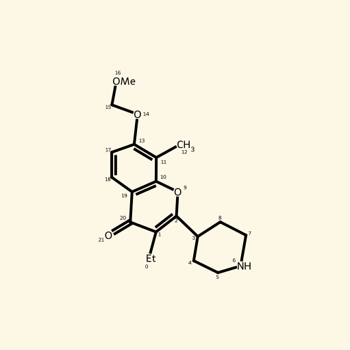 CCc1c(C2CCNCC2)oc2c(C)c(OCOC)ccc2c1=O